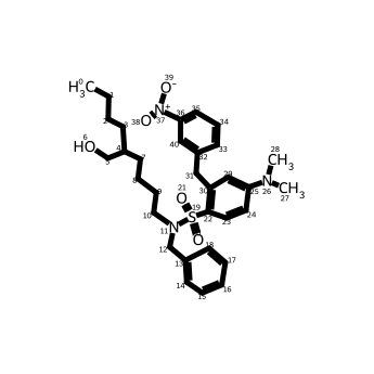 CCCCC(CO)CCCCN(Cc1ccccc1)S(=O)(=O)c1ccc(N(C)C)cc1Cc1cccc([N+](=O)[O-])c1